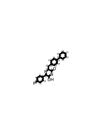 O=C1N=C(O)C(c2ccc(F)cc2)=NC1Cc1ccc(-c2ccccc2)cc1